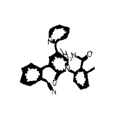 Cc1cccc(-n2cc(-c3ccccn3)cc(-c3ccccc3C#N)c2=O)c1C(N)=O